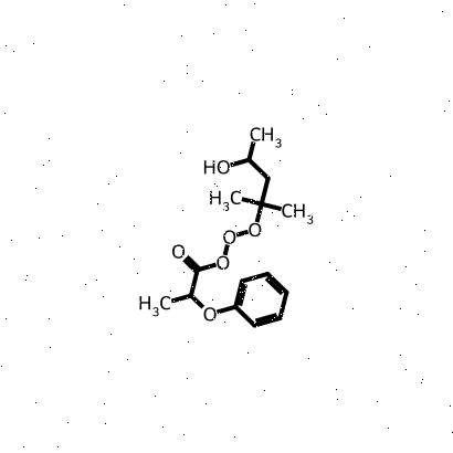 CC(O)CC(C)(C)OOOC(=O)C(C)Oc1ccccc1